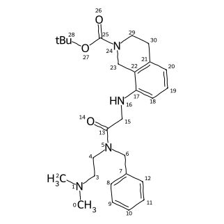 CN(C)CCN(Cc1ccccc1)C(=O)CNc1cccc2c1CN(C(=O)OC(C)(C)C)CC2